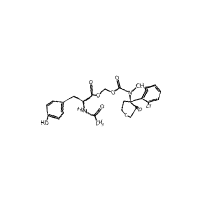 CC(=O)N[C@@H](Cc1ccc(O)cc1)C(=O)OCOC(=O)N(C)[C@]1(c2ccccc2Cl)CCCCC1=O